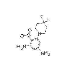 Nc1cc(N)c([N+](=O)[O-])c(N2CCC(F)(F)CC2)c1